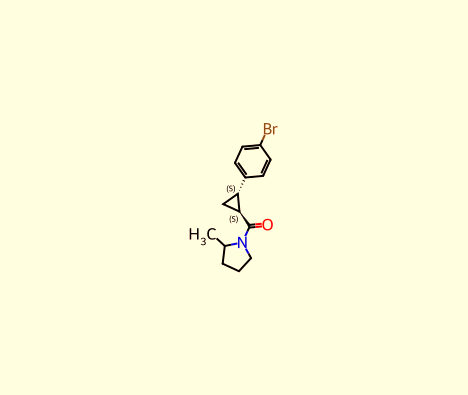 CC1CCCN1C(=O)[C@H]1C[C@@H]1c1ccc(Br)cc1